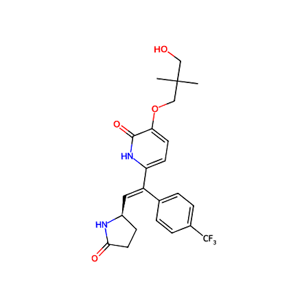 CC(C)(CO)COc1ccc(C(=C[C@H]2CCC(=O)N2)c2ccc(C(F)(F)F)cc2)[nH]c1=O